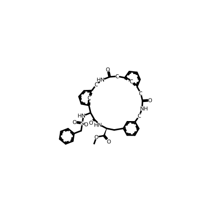 COC(=O)[C@@H]1Cc2cccc(c2)CNC(=O)Cc2cccc(c2)CC(=O)NCc2cccc(c2)C(NS(=O)(=O)Cc2ccccc2)C(=O)N1